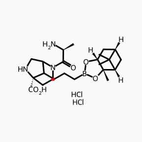 C[C@H](N)C(=O)N1CC[C@@]2(C(=O)O)NCC1C2CCCB1O[C@@H]2C[C@@H]3C[C@@H](C3(C)C)[C@]2(C)O1.Cl.Cl